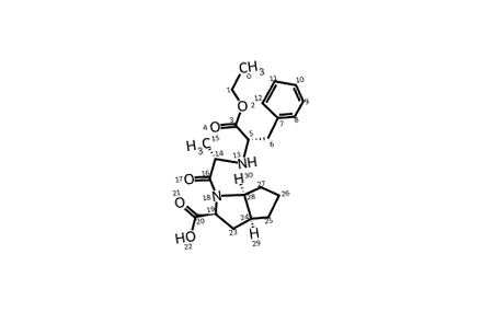 CCOC(=O)[C@H](Cc1ccccc1)N[C@@H](C)C(=O)N1[C@H](C(=O)O)C[C@@H]2CCC[C@@H]21